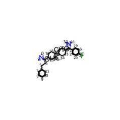 CN(C)C(CCc1ccccc1)C1CCC(C=O)(C2(C=O)CCC(C(c3ccc(F)cc3)N(C)C)CC2)CC1